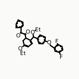 CCOC1=CC=C(C(OCC)c2ccc(OCc3cc(F)ccc3F)cc2)C(C(=O)C(=O)c2ccccc2)C1